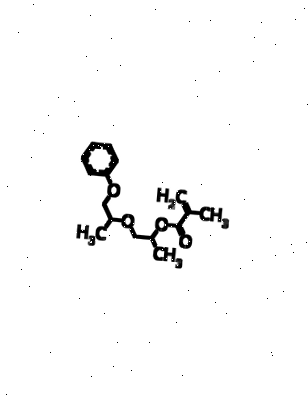 C=C(C)C(=O)OC(C)COC(C)COc1ccccc1